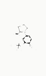 CC(C)(C)Oc1cc(N2CCOCC2C=O)ccc1N